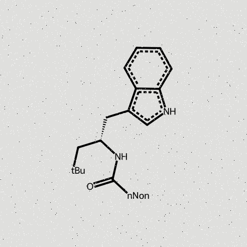 CCCCCCCCCC(=O)N[C@@H](Cc1c[nH]c2ccccc12)CC(C)(C)C